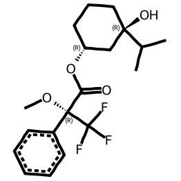 CO[C@@](C(=O)O[C@@H]1CCC[C@](O)(C(C)C)C1)(c1ccccc1)C(F)(F)F